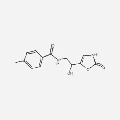 Cc1ccc(C(=O)NCC(O)c2c[nH]c(=S)o2)cc1